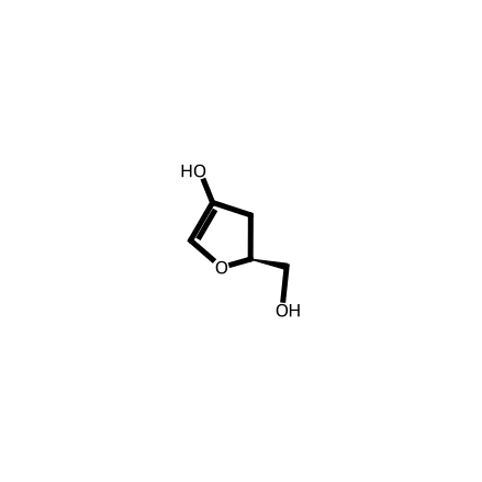 OC[C@@H]1CC(O)=CO1